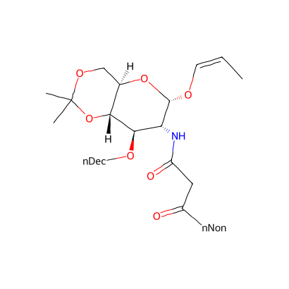 C/C=C\O[C@H]1O[C@@H]2COC(C)(C)O[C@H]2[C@H](OCCCCCCCCCC)[C@H]1NC(=O)CC(=O)CCCCCCCCC